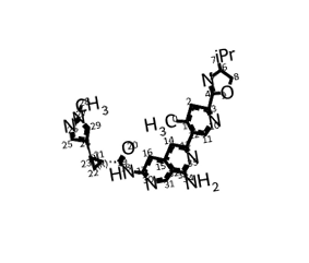 Cc1cc(C2=NC(C(C)C)CO2)ncc1-c1cc2cc(NC(=O)[C@@H]3C[C@H]3c3cnn(C)c3)ncc2c(N)n1